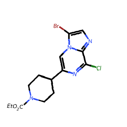 CCOC(=O)N1CCC(c2cn3c(Br)cnc3c(Cl)n2)CC1